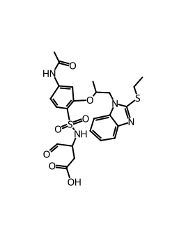 CCSc1nc2ccccc2n1CC(C)Oc1cc(NC(C)=O)ccc1S(=O)(=O)NC(C=O)CC(=O)O